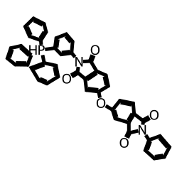 O=C1c2ccc(Oc3ccc4c(c3)C(=O)N(c3cccc([PH](c5ccccc5)(c5ccccc5)c5ccccc5)c3)C4=O)cc2C(=O)N1c1ccccc1